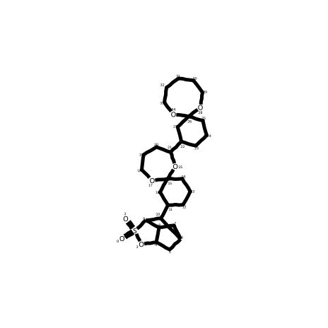 O=S1(=O)OC2CC3CC2C1C3C1CCCC2(C1)OCCCC(C1CCCC3(C1)OCCCCCO3)O2